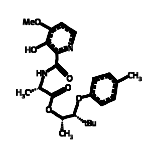 COc1ccnc(C(=O)N[C@@H](C)C(=O)O[C@@H](C)[C@H](Oc2ccc(C)cc2)C(C)(C)C)c1O